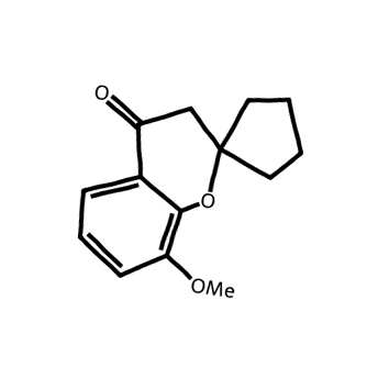 COc1cccc2c1OC1(CCCC1)CC2=O